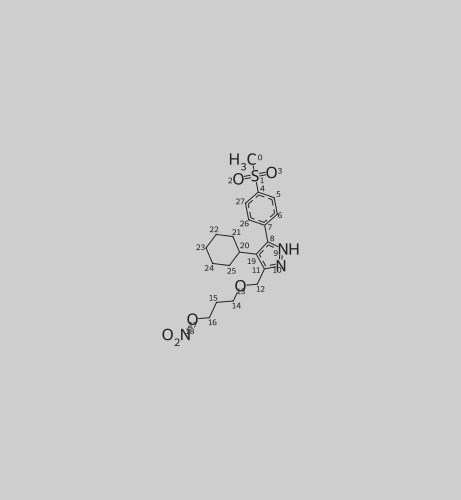 CS(=O)(=O)c1ccc(-c2[nH]nc(COCCCO[N+](=O)[O-])c2C2CCCCC2)cc1